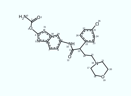 NC(=O)Oc1nc2ccc(NC(=O)C(CCN3CCOCC3)c3ccc(Cl)cc3)cc2s1